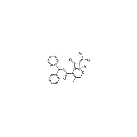 CC1=C(C(=O)OC(c2ccccc2)c2ccccc2)N2C(=O)C(=C(Br)Br)[C@H]2SC1